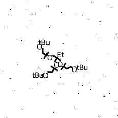 CCC(COC(C)(C)CCOC(C)(C)C)(COC(C)(C)CCOC(C)(C)C)COC(C)(C)CCOC(C)(C)C